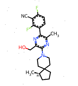 Cc1nc(N2CCC3(CCC[C@H]3C)CC2)c(CO)nc1-c1ccc(F)c(C#N)c1F